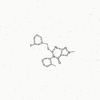 Cc1ccccc1-n1c(SCc2cccc(F)c2)nc2nn(C)cc2c1=O